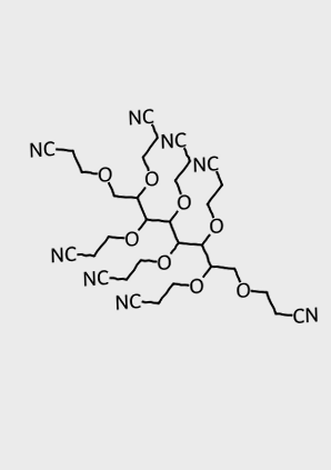 N#CCCOCC(OCCC#N)C(OCCC#N)C(OCCC#N)C(OCCC#N)C(OCCC#N)C(COCCC#N)OCCC#N